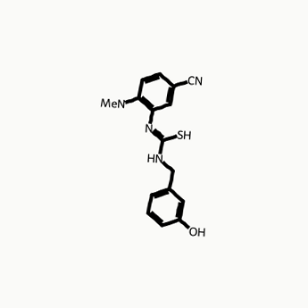 CNc1ccc(C#N)cc1N=C(S)NCc1cccc(O)c1